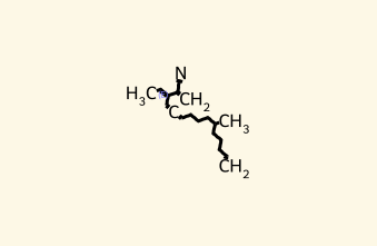 C=CCCCC(C)CCCC=C=C/C(=C\C)C(=C)C#N